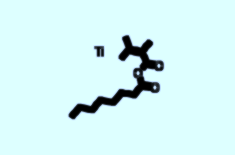 CCCCCCCC(=O)OC(=O)C(C)=C(C)C.[Ti]